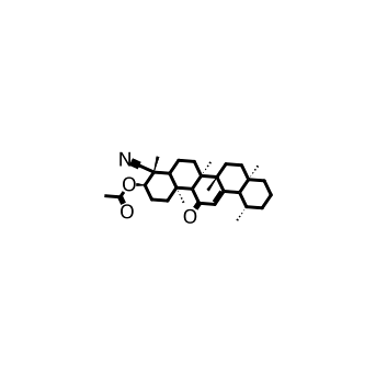 CC(=O)O[C@@H]1CC[C@@]2(C)C(CC[C@]3(C)C2C(=O)C=C2C4[C@@H](C)CCC[C@]4(C)CC[C@]23C)[C@@]1(C)C#N